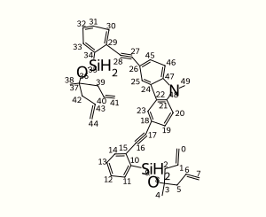 C=CCC(C)(CC=C)O[SiH2]c1ccccc1C#Cc1ccc2c(c1)c1cc(C#Cc3ccccc3[SiH2]OC(C)(CC=C)CC=C)ccc1n2C